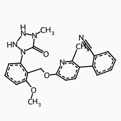 COc1cccc(N2NNN(C)C2=O)c1COc1ccc(-c2ccccc2C#N)c(C)n1